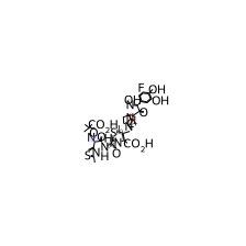 Cc1nc(/C(=N/OC(C)(C)C(=O)O)C(=O)N[C@@H]2C(=O)N3C(C(=O)O)=C(C[N+]45CCC(CC4)N(C(=O)C(=NO)c4cc(O)c(O)c(F)c4)CC5)[C@H](C)S[C@H]23)cs1